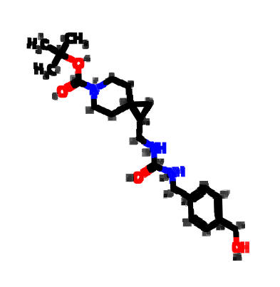 CC(C)(C)OC(=O)N1CCC2(CC1)CC2CNC(=O)NCc1ccc(CO)cc1